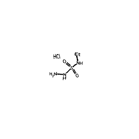 CCNS(=O)(=O)NN.Cl